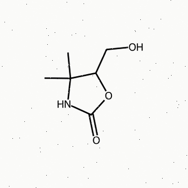 CC1(C)NC(=O)OC1CO